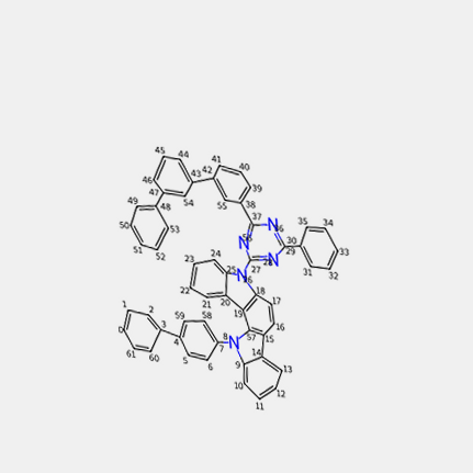 c1ccc(-c2ccc(-n3c4ccccc4c4ccc5c(c6ccccc6n5-c5nc(-c6ccccc6)nc(-c6cccc(-c7cccc(-c8ccccc8)c7)c6)n5)c43)cc2)cc1